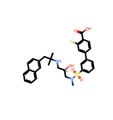 CN(C[C@H](O)CNC(C)(C)Cc1ccc2ccccc2c1)S(=O)(=O)c1cccc(-c2ccc(C(=O)O)c(F)c2)c1